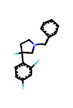 Fc1ccc(C2(F)CCN(Cc3ccccc3)C2)c(F)c1